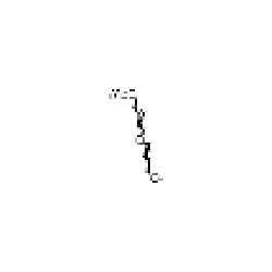 COCCOCCOCCCC[O]